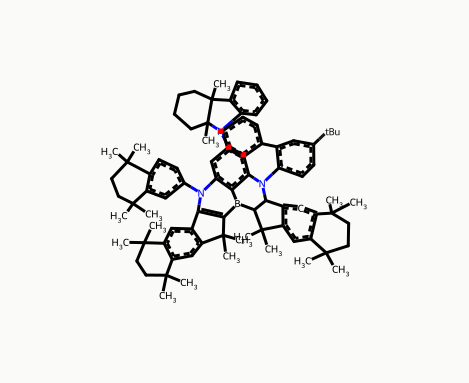 CC(C)(C)c1ccc(N2c3cc(N4c5ccccc5C5(C)CCCCC45C)cc4c3B(C3=C(c5cc6c(cc5C3(C)C)C(C)(C)CCC6(C)C)N4c3ccc4c(c3)C(C)(C)CCC4(C)C)C3C2c2cc4c(cc2C3(C)C)C(C)(C)CCC4(C)C)c(-c2ccccc2)c1